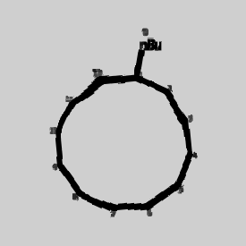 CCCCC1CC[CH]CCCCCCCC1